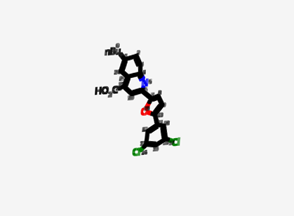 CCCCc1ccc2nc(-c3ccc(-c4cc(Cl)cc(Cl)c4)o3)cc(C(=O)O)c2c1